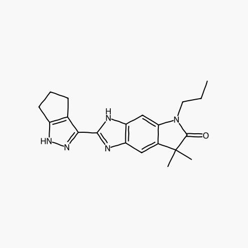 CCCN1C(=O)C(C)(C)c2cc3nc(-c4n[nH]c5c4CCC5)[nH]c3cc21